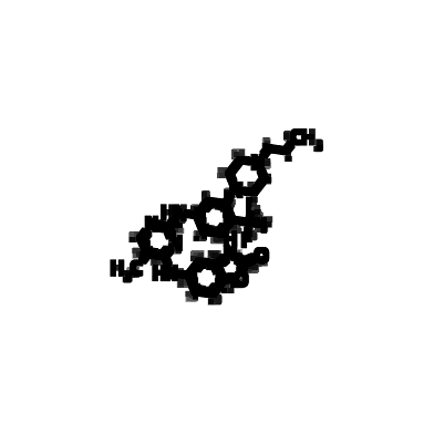 CCCN1CCN(c2cc(Nc3ncc(C)c(Nc4ccc5oc(=O)[nH]c5c4)n3)ccc2C(F)(F)F)CC1